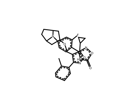 Cc1ccccc1-c1noc(C2CC2)c1COC1CC2CCC(C1)N2c1ccc(-c2noc(=O)[nH]2)c(F)c1